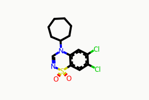 O=S1(=O)N=CN(C2CCCCCC2)c2cc(Cl)c(Cl)cc21